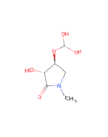 CN1C[C@H](OC(O)O)[C@@H](O)C1=O